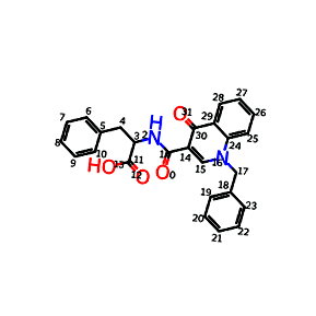 O=C(NC(Cc1ccccc1)C(=O)O)c1cn(Cc2ccccc2)c2ccccc2c1=O